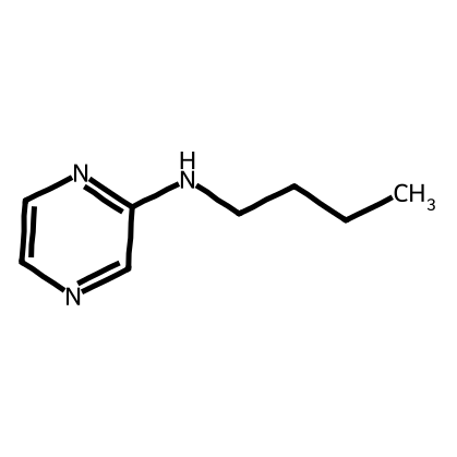 CCCCNc1cnccn1